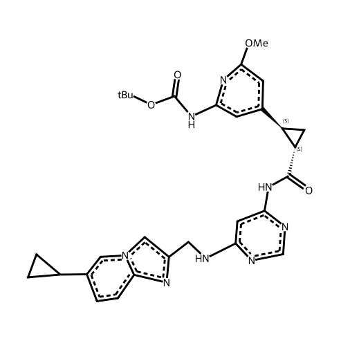 COc1cc([C@H]2C[C@@H]2C(=O)Nc2cc(NCc3cn4cc(C5CC5)ccc4n3)ncn2)cc(NC(=O)OC(C)(C)C)n1